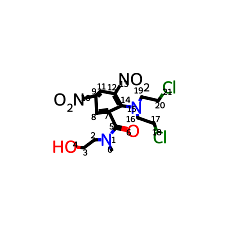 CN(CCO)C(=O)c1cc([N+](=O)[O-])cc([N+](=O)[O-])c1N(CCCl)CCCl